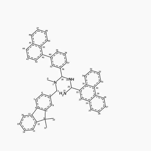 CN(Cc1ccc2c(c1)C(C)(C)c1ccccc1-2)C(NC(N)c1cc2ccccc2c2ccccc12)c1cccc(-c2cccc3ccccc23)c1